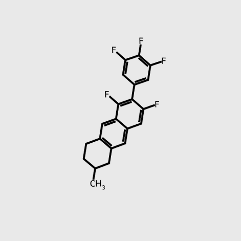 CC1CCc2cc3c(F)c(-c4cc(F)c(F)c(F)c4)c(F)cc3cc2C1